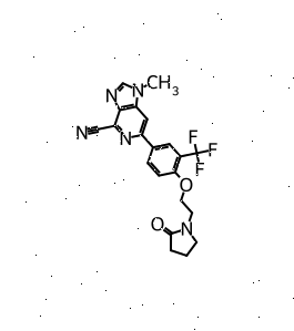 Cn1cnc2c(C#N)nc(-c3ccc(OCCN4CCCC4=O)c(C(F)(F)F)c3)cc21